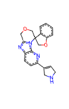 C1=C(c2ccc3nc4n(c3n2)C2(COC4)COc3ccccc32)CNC1